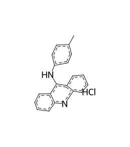 Cc1ccc(Nc2c3ccccc3nc3ccccc23)cc1.Cl